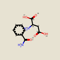 NC(=O)c1ccccc1.NC(CC(=O)O)C(=O)O